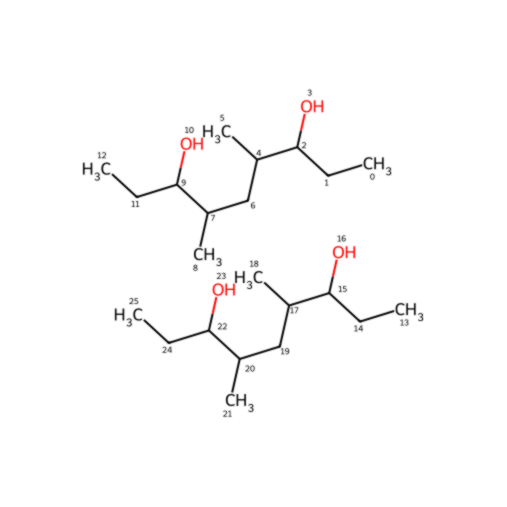 CCC(O)C(C)CC(C)C(O)CC.CCC(O)C(C)CC(C)C(O)CC